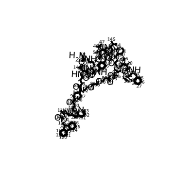 CC[C@H](C)[C@@H]([C@@H](CC(=O)N1CCC[C@H]1[C@H](OC)[C@@H](C)C(=O)N[C@@H](Cc1ccccc1)c1nccs1)OC)N(C)C(=O)[C@@H](NC(=O)[C@H](C(C)C)N(C)C(=O)OCc1ccc(NC(=O)[C@H](CCCNC(N)=O)NC(=O)[C@@H](NC(=O)CCC(=O)N(CCOCCOCCC(=O)OC(C)(C)C)C2CCN(C(=O)CCn3c(CN(C)N(C)C(=O)OCC4c5ccccc5-c5ccccc54)cc4cccnc43)CC2)C(C)C)cc1)C(C)C